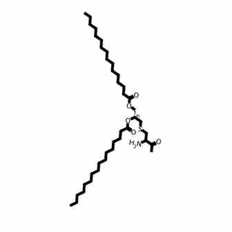 CCCCCCCCCCCCCCCC(=O)OC[C@H](CSCC(N)C(C)=O)OC(=O)CCCCCCCCCCCCCCC